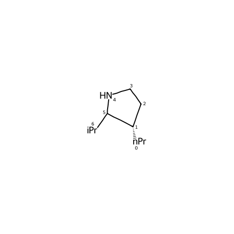 CCC[C@H]1CCNC1C(C)C